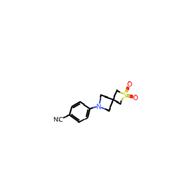 N#Cc1ccc(N2CC3(C2)CS(=O)(=O)C3)cc1